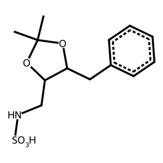 CC1(C)OC(CNS(=O)(=O)O)C(Cc2ccccc2)O1